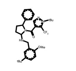 COc1ccc(C(C)(C)C)cc1CNC1CCC(c2ccccc2)N1C(=O)c1cnn(C(C)(C)C)c1C(F)(F)F